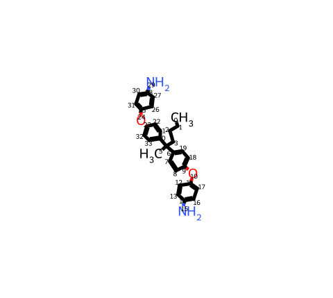 CCCCC(C)(c1ccc(Oc2ccc(N)cc2)cc1)c1ccc(Oc2ccc(N)cc2)cc1